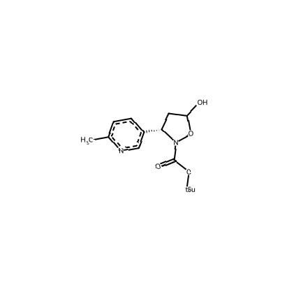 Cc1ccc([C@@H]2CC(O)ON2C(=O)OC(C)(C)C)cn1